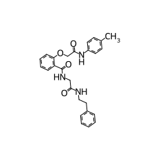 Cc1ccc(NC(=O)COc2ccccc2C(=O)NCC(=O)NCCc2ccccc2)cc1